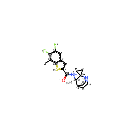 Cc1c(F)c(F)cc2cc(C(=O)N[C@@H]3C4CCN(CC4)C34CC4)sc12